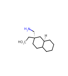 NC[C@@]1(CC(=O)O)CCC2CCCC[C@@H]2C1